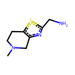 CN1CCc2sc(CN)nc2C1